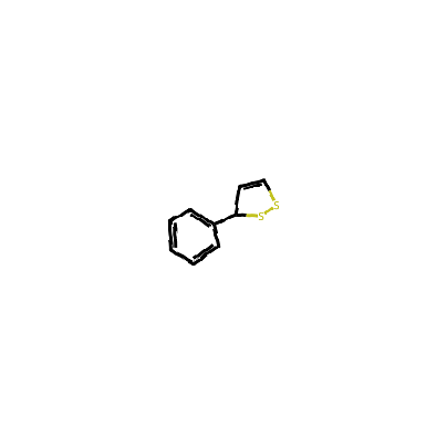 C1=CC(c2ccccc2)SS1